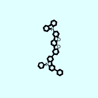 C1=CCCC(n2c3ccc(-c4ccccc4)cc3c3cc(-c4ccc5oc6c(ccc7c8cc(-n9c%10ccccc%10c%10ccccc%109)ccc8oc76)c5c4)ccc32)=C1